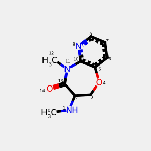 CNC1COc2cccnc2N(C)C1=O